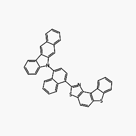 c1ccc2cc3c(cc2c1)c1ccccc1n3-c1ccc(-c2nc3c(ccc4sc5ccccc5c43)s2)c2ccccc12